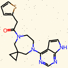 O=C(Cc1cccs1)N1CCN(c2ncnc3[nH]ccc23)CC2(CC2)C1